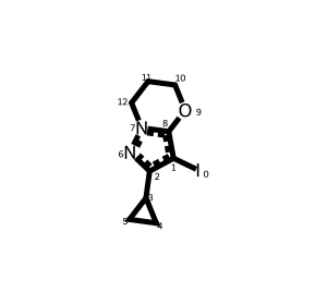 Ic1c(C2CC2)nn2c1OCCC2